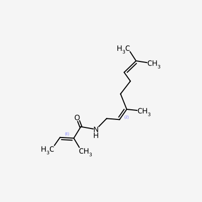 C/C=C(\C)C(=O)NC/C=C(/C)CCC=C(C)C